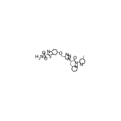 Cc1ccnc(NC(=O)C(Cc2ccccc2)n2cc(COc3ccc4nc(S(N)(=O)=O)sc4c3)nn2)c1